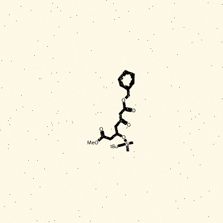 COC(=O)CC(CC(=O)CC(=O)OCc1ccccc1)O[Si](C)(C)C(C)(C)C